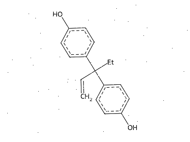 C=CC(CC)(c1ccc(O)cc1)c1ccc(O)cc1